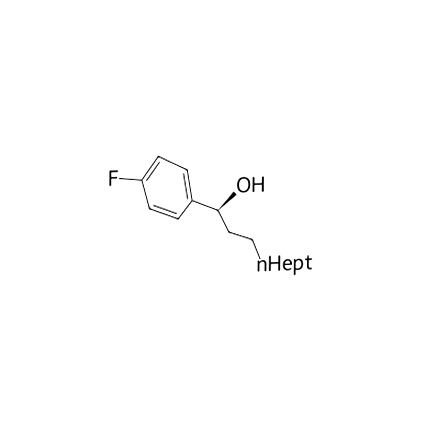 CCCCCCCCC[C@H](O)c1ccc(F)cc1